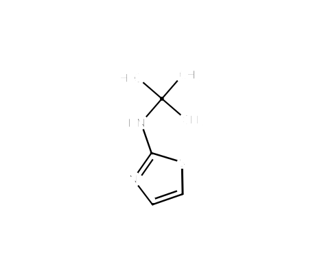 CC(C)(C)Nc1nccs1